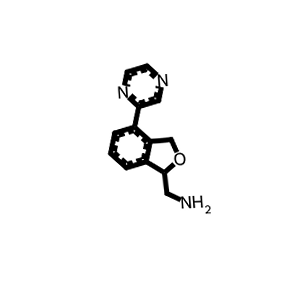 NCC1OCc2c(-c3cnccn3)cccc21